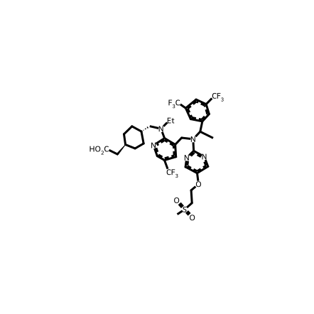 CCN(C[C@H]1CC[C@H](CC(=O)O)CC1)c1ncc(C(F)(F)F)cc1CN(c1ncc(OCCS(C)(=O)=O)cn1)C(C)c1cc(C(F)(F)F)cc(C(F)(F)F)c1